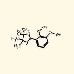 CCCOc1cccc(B2OC(C)(C)C(C)(C)O2)c1OCCC